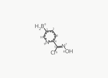 Bc1ccc(/C(Cl)=N/O)nc1